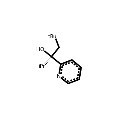 CC(C)[C@](O)(CC(C)(C)C)c1ccccn1